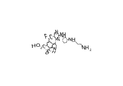 CP(C)(=O)c1c(C(=O)O)ccc2c(-c3nc(N[C@H]4CCC[C@H](NCCCCN)C4)ncc3C(F)(F)F)c[nH]c12